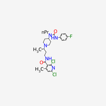 CCCN(C(=O)Nc1ccc(F)cc1)C1CCN([C@H](C)CCNC(=O)c2c(C)cc(Cl)nc2Cl)CC1